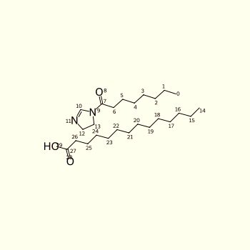 CCCCCCCC(=O)N1C=NCC1.CCCCCCCCCCCCCC(=O)O